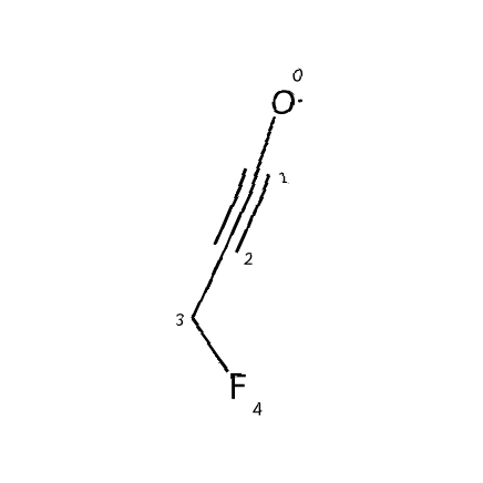 [O]C#CCF